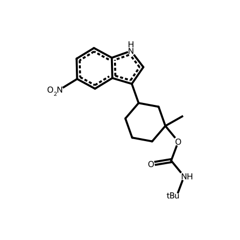 CC(C)(C)NC(=O)OC1(C)CCCC(c2c[nH]c3ccc([N+](=O)[O-])cc23)C1